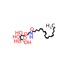 CCCCC/C=C\C/C=C\C/C=C\C/C=C\CCCC(=O)NCCO[C@@H]1O[C@H](CO)[C@@H](O)[C@H](O)[C@H]1O